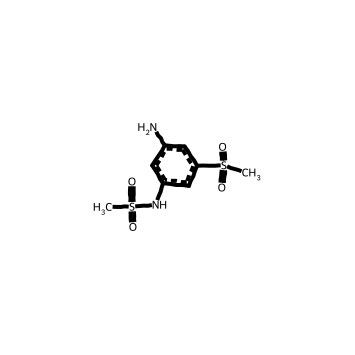 CS(=O)(=O)Nc1cc(N)cc(S(C)(=O)=O)c1